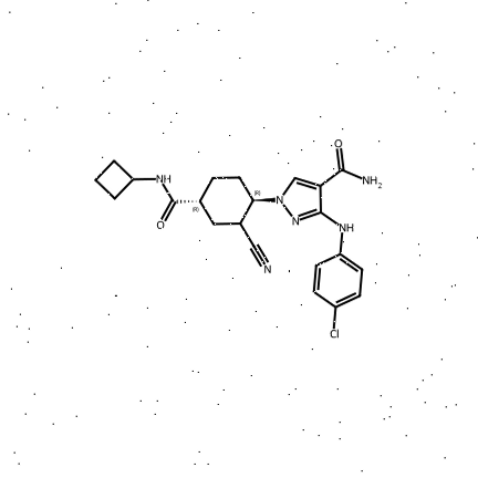 N#CC1C[C@H](C(=O)NC2CCC2)CC[C@H]1n1cc(C(N)=O)c(Nc2ccc(Cl)cc2)n1